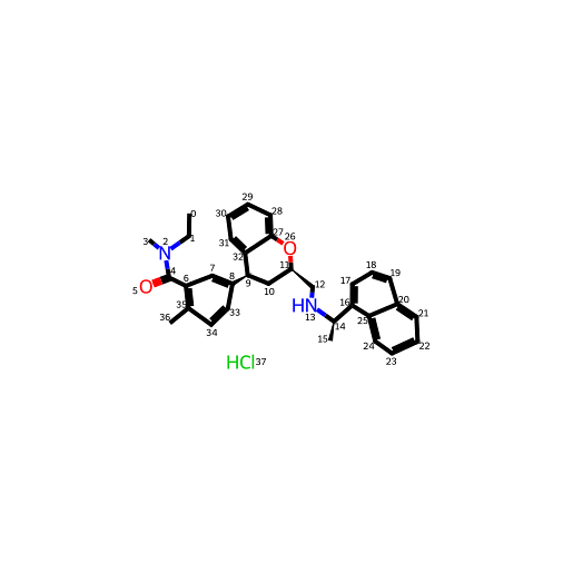 CCN(C)C(=O)c1cc([C@@H]2C[C@H](CN[C@H](C)c3cccc4ccccc34)Oc3ccccc32)ccc1C.Cl